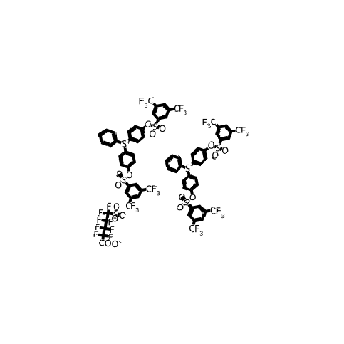 O=C([O-])C(F)(F)C(F)(F)C(F)(F)C(F)(F)S(=O)(=O)[O-].O=S(=O)(Oc1ccc([S+](c2ccccc2)c2ccc(OS(=O)(=O)c3cc(C(F)(F)F)cc(C(F)(F)F)c3)cc2)cc1)c1cc(C(F)(F)F)cc(C(F)(F)F)c1.O=S(=O)(Oc1ccc([S+](c2ccccc2)c2ccc(OS(=O)(=O)c3cc(C(F)(F)F)cc(C(F)(F)F)c3)cc2)cc1)c1cc(C(F)(F)F)cc(C(F)(F)F)c1